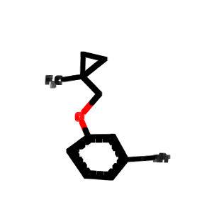 CCCc1cccc(OCC2(C(F)(F)F)CC2)c1